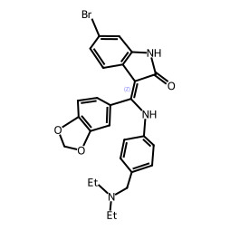 CCN(CC)Cc1ccc(N/C(=C2\C(=O)Nc3cc(Br)ccc32)c2ccc3c(c2)OCO3)cc1